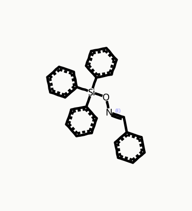 C(=N\O[Si](c1ccccc1)(c1ccccc1)c1ccccc1)/c1ccccc1